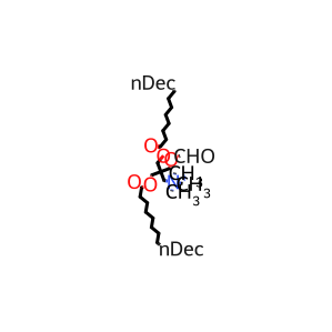 CCCCCCCCCCCCCCCCCC(=O)OCC(COC=O)(COC(=O)CCCCCCCCCCCCCCCCC)C[N+](C)(C)C